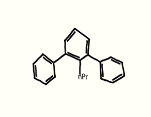 CCCc1c(-c2ccccc2)cccc1-c1ccccc1